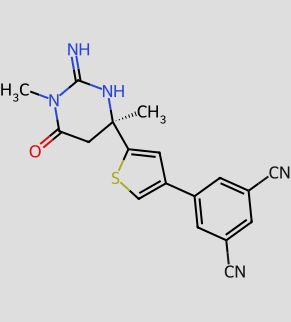 CN1C(=N)N[C@@](C)(c2cc(-c3cc(C#N)cc(C#N)c3)cs2)CC1=O